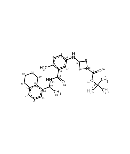 Cc1ccc(NC2CN(C(=O)OC(C)(C)C)C2)cc1C(=O)NC(C)c1cccc2c1CCCC2